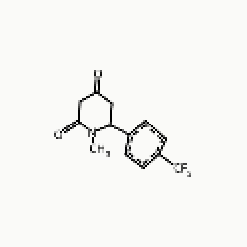 CN1C(=O)CC(=O)CC1c1ccc(C(F)(F)F)cc1